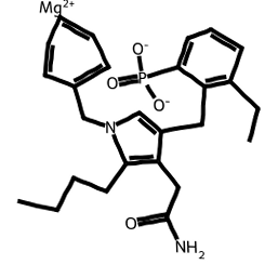 CCCCc1c(CC(N)=O)c(Cc2c(CC)cccc2P(=O)([O-])[O-])cn1Cc1ccccc1.[Mg+2]